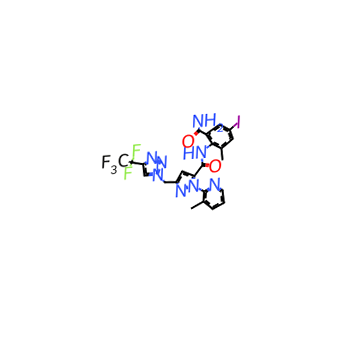 Cc1cccnc1-n1nc(Cn2cc(C(F)(F)C(F)(F)F)nn2)cc1C(=O)Nc1c(C)cc(I)cc1C(N)=O